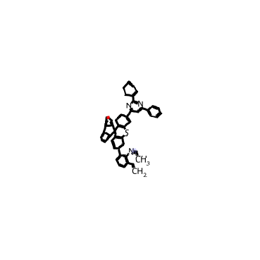 C=Cc1cccc(-c2ccc3c(c2)Sc2cc(-c4cc(-c5ccccc5)nc(C5=CC=CCC5)n4)ccc2C32c3ccccc3-c3ccccc32)c1/N=C\C